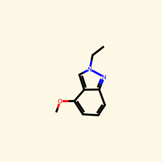 CCn1cc2c(OC)c[c]cc2n1